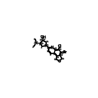 CN(C)[C@H]1CN(c2ccc3c4c(c(Br)c(Cl)c3n2)COC4)C[C@H]1O